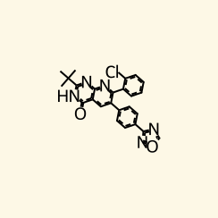 CC(C)(C)c1nc2nc(-c3ccccc3Cl)c(-c3ccc(-c4ncon4)cc3)cc2c(=O)[nH]1